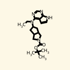 CCN(c1ncnc2[nH]ccc12)C1CC2CN(C(=O)OC(C)(C)C)CC2C1